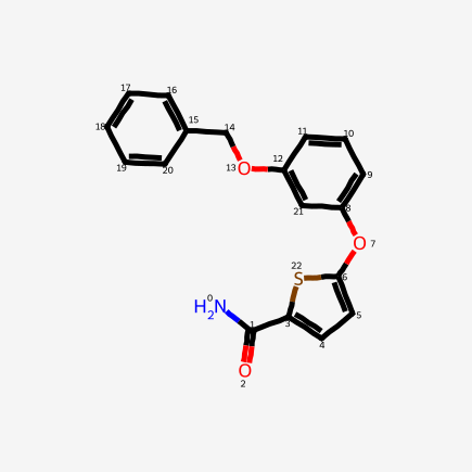 NC(=O)c1ccc(Oc2cccc(OCc3ccccc3)c2)s1